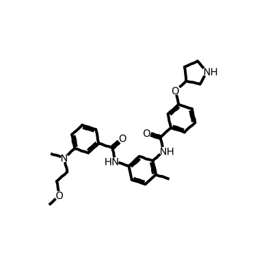 COCCN(C)c1cccc(C(=O)Nc2ccc(C)c(NC(=O)c3cccc(OC4CCNC4)c3)c2)c1